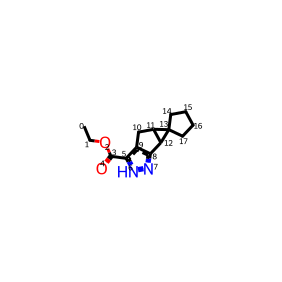 CCOC(=O)c1[nH]nc2c1CC1C2C12CCCC2